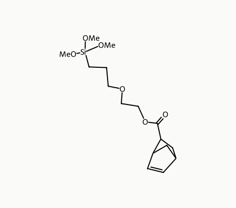 CO[Si](CCCOCCOC(=O)C1CC2C=CC1C2)(OC)OC